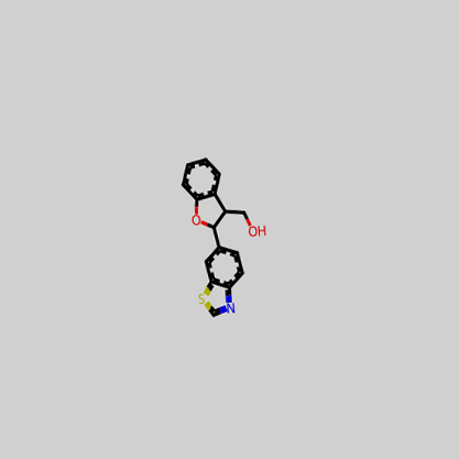 OCC1c2ccccc2OC1c1ccc2ncsc2c1